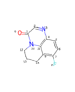 O=c1cnc2ccc(F)c3c2n1CCC3